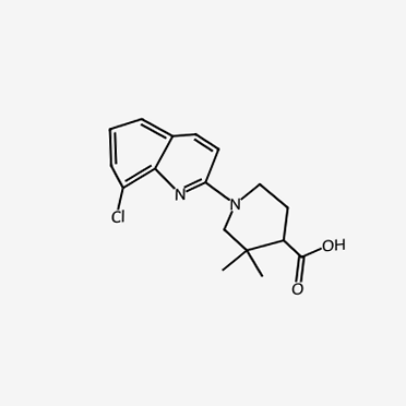 CC1(C)CN(c2ccc3cccc(Cl)c3n2)CCC1C(=O)O